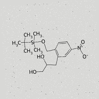 CC(C)(C)[Si](C)(C)OCc1ccc([N+](=O)[O-])cc1CC(O)CO